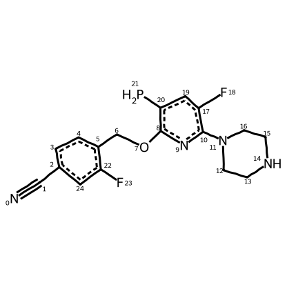 N#Cc1ccc(COc2nc(N3CCNCC3)c(F)cc2P)c(F)c1